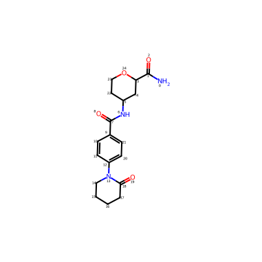 NC(=O)C1[C]C(NC(=O)c2ccc(N3CCCCC3=O)cc2)CCO1